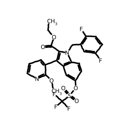 CCOC(=O)c1c(-c2cccnc2OC)c2cc(OS(=O)(=O)C(F)(F)F)ccc2n1Cc1cc(F)ccc1F